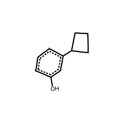 Oc1cc[c]c(C2CCC2)c1